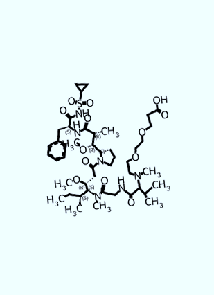 CC[C@H](C)[C@@H]([C@@H](CC(=O)N1CCC[C@H]1[C@H](OC)[C@@H](C)C(=O)N[C@@H](Cc1ccccc1)C(=O)NS(=O)(=O)C1CC1)OC)N(C)C(=O)CNC(=O)C(C(C)C)N(C)CCOCCOCCC(=O)O